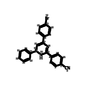 N#Cc1ccc(C2=NC(c3ccc(Br)cc3)=CN(c3ccccc3)N2)cc1